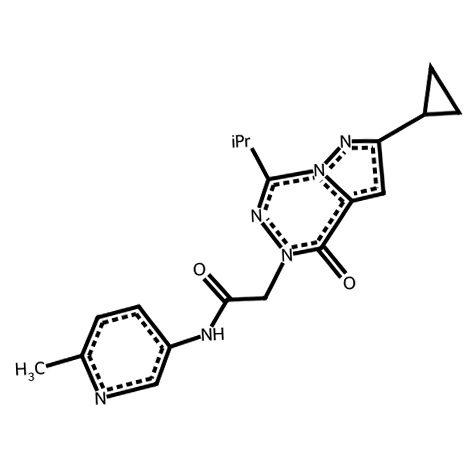 Cc1ccc(NC(=O)Cn2nc(C(C)C)n3nc(C4CC4)cc3c2=O)cn1